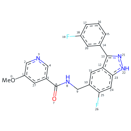 COc1cncc(C(=O)NCc2cc3c(-c4cccc(F)c4)n[nH]c3cc2F)c1